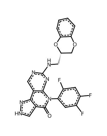 O=c1c2c[nH]nc2c2cnc(NC[C@H]3COc4ccccc4O3)nc2n1-c1cc(F)c(F)cc1F